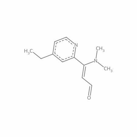 CCc1ccnc(C(=CC=O)N(C)C)c1